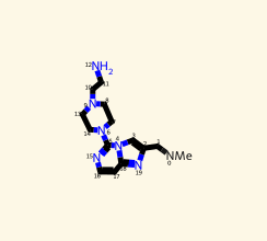 CNCc1cn2c(N3CCN(CCN)CC3)nccc2n1